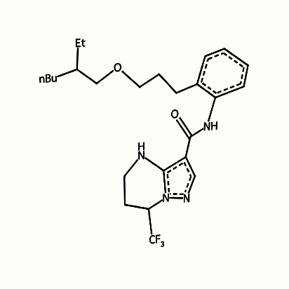 CCCCC(CC)COCCCc1ccccc1NC(=O)c1cnn2c1NCCC2C(F)(F)F